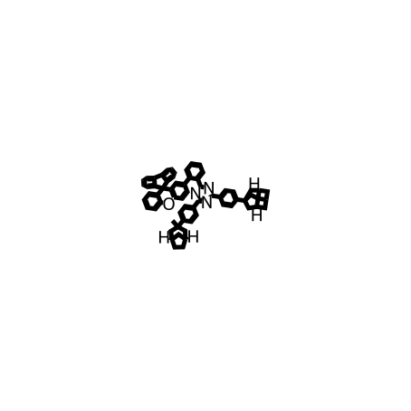 CC1(c2ccc(-c3nc(-c4ccc(C56C[C@H]7CC8C[C@@H](C5)C87C6)cc4)nc(-c4ccccc4-c4ccc5c(c4)C4(c6ccccc6O5)c5ccccc5-c5ccccc54)n3)cc2)C[C@@H]2CC[C@@H](C2)C1